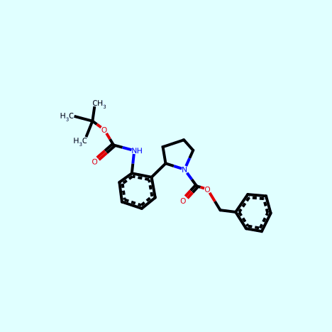 CC(C)(C)OC(=O)Nc1ccccc1C1CCCN1C(=O)OCc1ccccc1